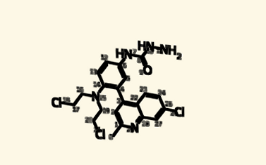 Cc1cc(-c2cc(NC(=O)NN)ccc2N(CCCl)CCCl)c2ccc(Cl)cc2n1